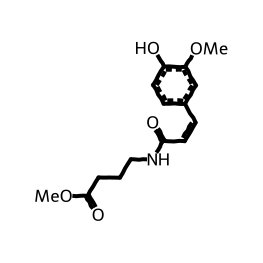 COC(=O)CCCNC(=O)/C=C\c1ccc(O)c(OC)c1